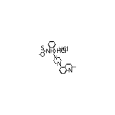 COC(=S)Nc1ccccc1CCN1CCN(c2cccc3nc(C)ccc23)CC1.Cl.Cl